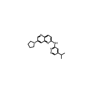 CC(C)c1cnnc(Nc2ccc3ncc(N4CCCC4)cc3n2)c1